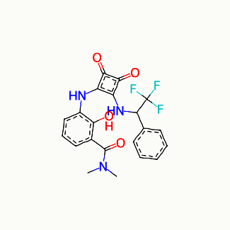 CN(C)C(=O)c1cccc(Nc2c(NC(c3ccccc3)C(F)(F)F)c(=O)c2=O)c1O